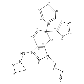 O=CC=Cn1nc(NC2CCC2)c2c1CC(c1ccccc1)(c1cccs1)C=C2